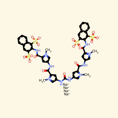 Cn1cc(NC(=O)Nc2cc(C(=O)Nc3cc(C(=O)Nc4c(S(=O)(=O)[O-])cc5ccccc5c4S(=O)(=O)[O-])n(C)c3)n(C)c2)cc1C(=O)Nc1cc(C(=O)Nc2c(S(=O)(=O)[O-])cc3ccccc3c2S(=O)(=O)[O-])n(C)c1.[Na+].[Na+].[Na+].[Na+]